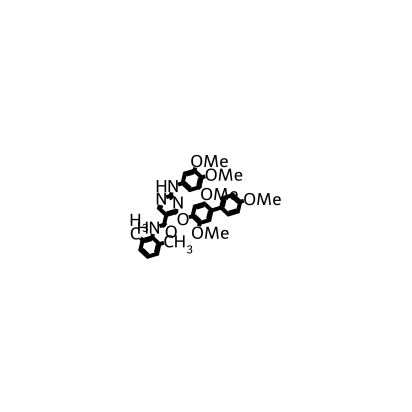 COc1ccc(-c2ccc(Oc3nc(Nc4cc(OC)c(OC)c(OC)c4)ncc3C(=O)Nc3c(C)cccc3C)c(OC)c2)cc1